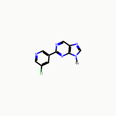 [2H]n1cnc2cnc(-c3cncc(Cl)c3)nc21